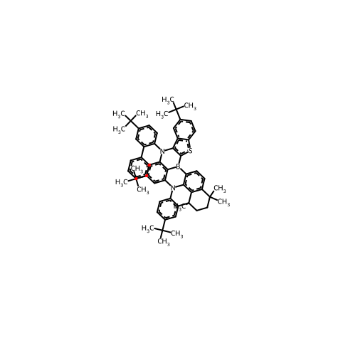 CC(C)(C)c1ccc(N2c3cc(C(C)(C)C)cc4c3B(c3ccc5c6c3N4c3ccc(C(C)(C)C)cc3C6(C)CCC5(C)C)c3sc4ccc(C(C)(C)C)cc4c32)c(-c2ccccc2)c1